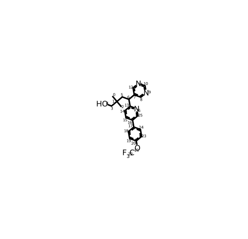 CC(C)(CO)CC(c1cncnc1)c1ccc(-c2ccc(OC(F)(F)F)cc2)cn1